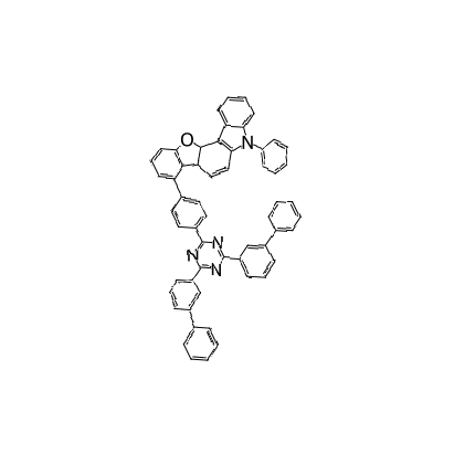 C1=CC2c3c(cccc3-c3ccc(-c4nc(-c5cccc(-c6ccccc6)c5)nc(-c5cccc(-c6ccccc6)c5)n4)cc3)OC2c2c1n(-c1ccccc1)c1ccccc21